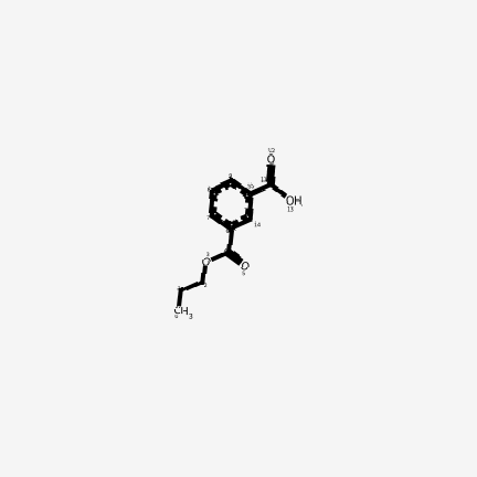 CCCOC(=O)c1cccc(C(=O)O)c1